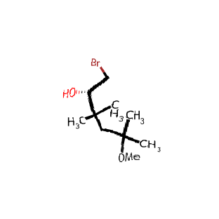 COC(C)(C)CC(C)(C)[C@H](O)CBr